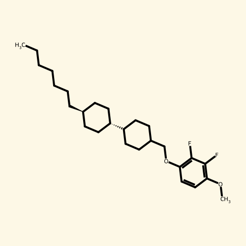 CCCCCCC[C@H]1CC[C@H](C2CCC(COc3ccc(OC)c(F)c3F)CC2)CC1